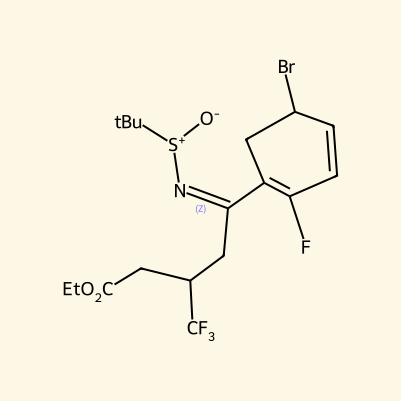 CCOC(=O)CC(C/C(=N/[S+]([O-])C(C)(C)C)C1=C(F)C=CC(Br)C1)C(F)(F)F